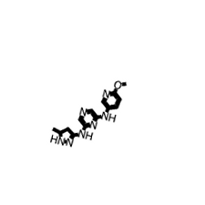 COc1ccc(Nc2cncc(NC3=NNC(C)C3)n2)cn1